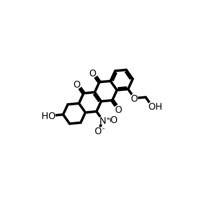 O=C1C2=C(C(=O)c3c(OCO)cccc31)C([N+](=O)[O-])C1CCC(O)CC1C2=O